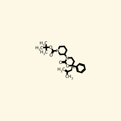 C=C(C)C[C@]1(c2ccccc2)CCN(C2CCCN(C(=O)OC(C)(C)C)C2)C(=O)O1